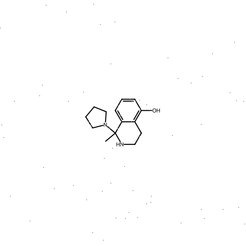 CC1(N2CCCC2)NCCc2c(O)cccc21